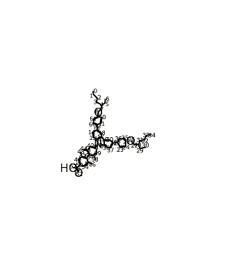 CCCCC(CC)COc1ccc(-c2ccc3c(c2)c2cc(-c4ccc(OCC(CC)CCCC)cc4)ccc2n3-c2cc(C)c(-c3c(C)cc(C(=O)O)cc3C)c(C)c2)cc1